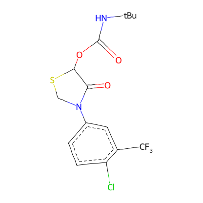 CC(C)(C)NC(=O)OC1SCN(c2ccc(Cl)c(C(F)(F)F)c2)C1=O